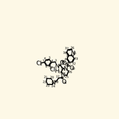 O=C(NCc1ccc(Cl)cc1Cl)C1CN(C(=O)CCN2CCCCC2)CCN1S(=O)(=O)c1ccc2ncccc2c1